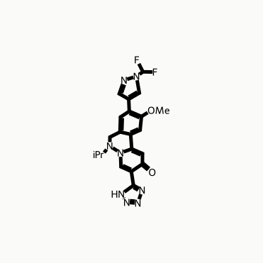 COc1cc2c(cc1-c1cnn(C(F)F)c1)CN(C(C)C)n1cc(-c3nnn[nH]3)c(=O)cc1-2